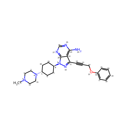 CN1CCN([C@H]2CC[C@H](n3nc(C#CCOc4ccccc4)c4c(N)ncnc43)CC2)CC1